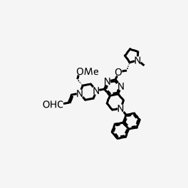 COC[C@@H]1CN(c2nc(OC[C@@H]3CCCN3C)nc3c2CCN(c2cccc4ccccc24)C3)CCN1C=CC=O